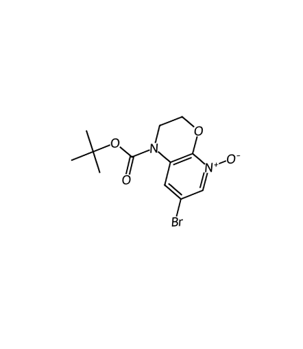 CC(C)(C)OC(=O)N1CCOc2c1cc(Br)c[n+]2[O-]